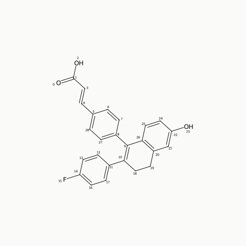 O=C(O)/C=C/c1ccc(C2=C(c3ccc(F)cc3)CCc3cc(O)ccc32)cc1